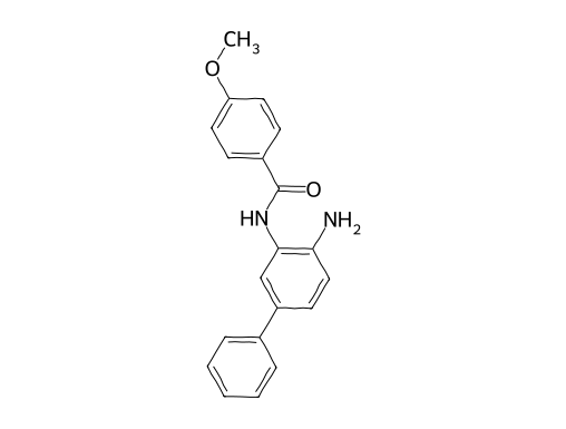 COc1ccc(C(=O)Nc2cc(-c3ccccc3)ccc2N)cc1